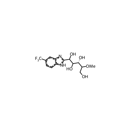 COC(CO)[C@@H](O)C(O)C(O)c1nc2cc(C(F)(F)F)ccc2[nH]1